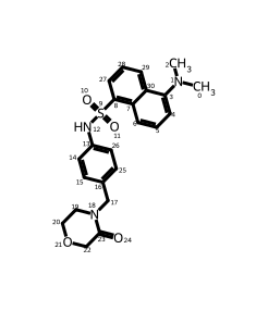 CN(C)c1cccc2c(S(=O)(=O)Nc3ccc(CN4CCOCC4=O)cc3)cccc12